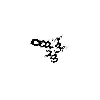 CC(NC(=O)[C@@H]1CC2(CN1C(=O)CNC(=O)c1ccc3cc4ccccc4nc3c1)OCCO2)c1cc(C(=N)N)cs1